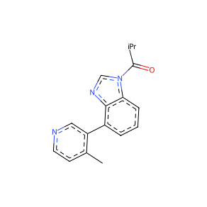 Cc1ccncc1-c1cccc2c1ncn2C(=O)C(C)C